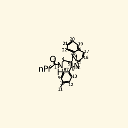 CCCC(=O)NCc1c(-c2ccc(C)cc2)nc2ccc3ccccc3n12